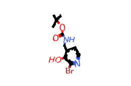 CC(C)(C)OC(=O)NCc1ccnc(Br)c1O